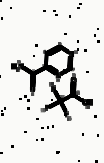 NC(=O)c1ccncn1.O=C(O)C(F)(F)F